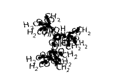 C=CC(=O)OCCC(COC(=O)C=C)(COC(=O)C=C)OC(=O)Nc1cc(NC(=O)OCC(COCC(COC(=O)C=C)(COC(=O)C=C)COC(=O)C=C)(COC(=O)C=C)COC(=O)C=C)cc(NC(=O)OCC(COC(=O)C=C)(COC(=O)C=C)COC(=O)C=C)c1